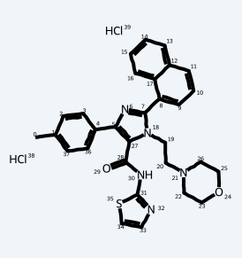 Cc1ccc(-c2nc(-c3cccc4ccccc34)n(CCN3CCOCC3)c2C(=O)Nc2nccs2)cc1.Cl.Cl